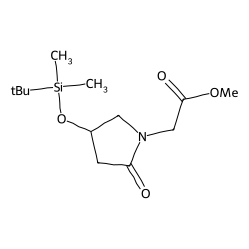 COC(=O)CN1CC(O[Si](C)(C)C(C)(C)C)CC1=O